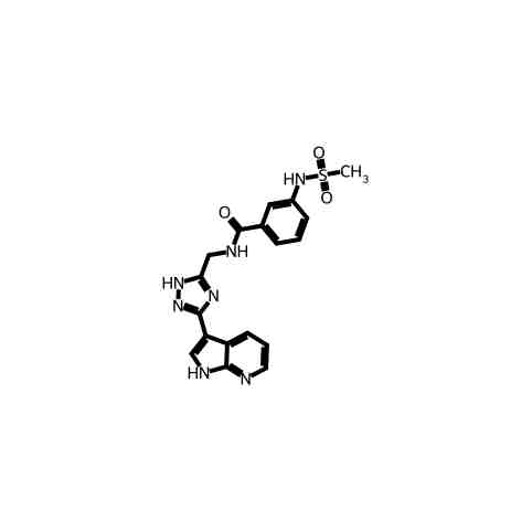 CS(=O)(=O)Nc1cccc(C(=O)NCc2nc(-c3c[nH]c4ncccc34)n[nH]2)c1